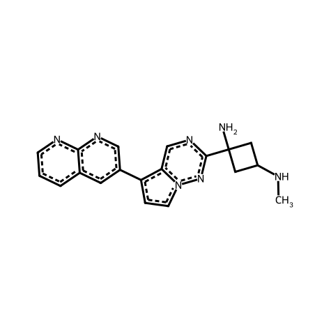 CNC1CC(N)(c2ncc3c(-c4cnc5ncccc5c4)ccn3n2)C1